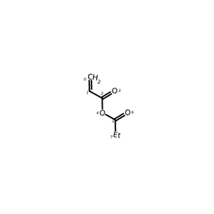 C=CC(=O)OC(=O)CC